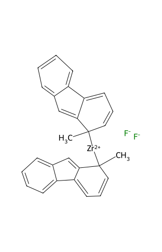 C[C]1([Zr+2][C]2(C)C=CC=C3C2=Cc2ccccc23)C=CC=C2C1=Cc1ccccc12.[F-].[F-]